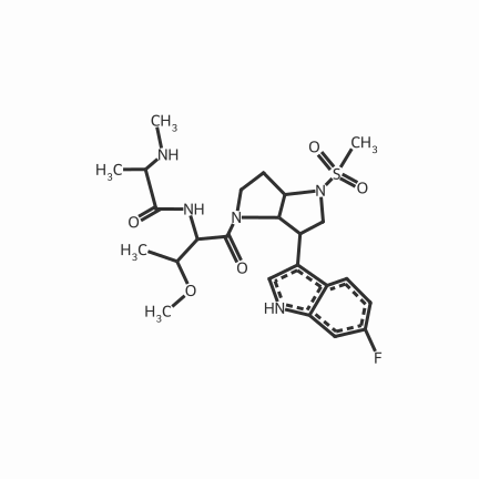 CNC(C)C(=O)NC(C(=O)N1CCC2C1C(c1c[nH]c3cc(F)ccc13)CN2S(C)(=O)=O)C(C)OC